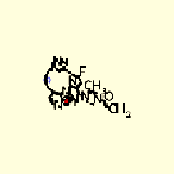 C=CC(=O)N1CCN(c2nc(=O)n3c4nc(c(F)cc24)-c2cn(nn2)C/C=C\Cc2ccnc(C(C)C)c2-3)[C@@H](C)C1